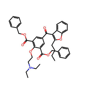 CCCCc1oc2ccccc2c1C(=O)c1cc(C(=O)OCc2ccccc2)c(OCCN(CC)CC)c(C(=O)OCc2ccccc2)c1